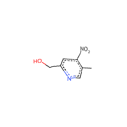 Cc1cnc(CO)cc1[N+](=O)[O-]